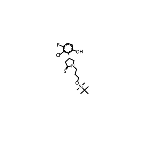 CC(C)(C)[Si](C)(C)OCCCN1C[C@@H](c2c(O)ccc(F)c2Cl)CC1=S